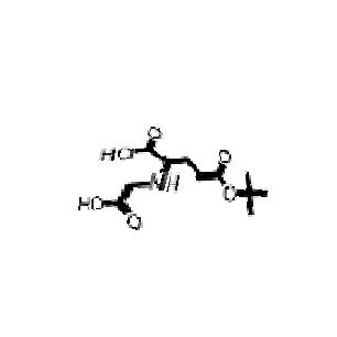 CC(C)(C)OC(=O)CCC(NCC(=O)O)C(=O)O